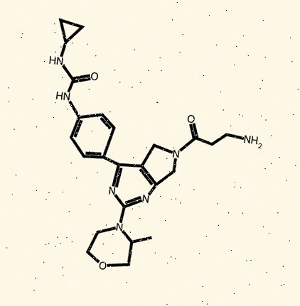 CC1COCCN1c1nc2c(c(-c3ccc(NC(=O)NC4CC4)cc3)n1)CN(C(=O)CCN)C2